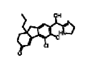 CCCC12CCC(=O)C=C1c1c(cc(C(O)C3=NCCN3)c(Cl)c1Cl)C2